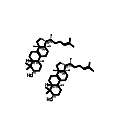 CC(C)=CCC[C@@H](C)[C@H]1CC[C@@]2(C)C3=C(CC[C@]12C)[C@@]1(C)CC[C@H](O)C(C)(C)[C@@H]1CC3.CC(C)=CCC[C@@H](C)[C@H]1CC[C@@]2(C)C3=C(CC[C@]12C)[C@@]1(C)CC[C@H](O)C(C)(C)[C@@H]1CC3